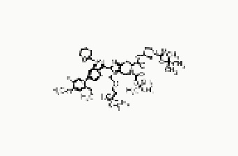 CCc1cc(OC)c(F)cc1-c1ccc2c(-c3nc4c(n3COCC[Si](C)(C)C)CN(C(=O)OC(C)(C)C)C(C(=O)OC3CCN(C(=O)OC(C)(C)C)C3)C4)nn(C3CCCCO3)c2c1